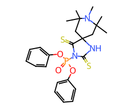 CN1C(C)(C)CC2(CC1(C)C)NC(=S)N(P(=O)(Oc1ccccc1)Oc1ccccc1)C2=S